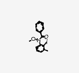 CON(C(=O)c1ccccc1)c1cccc(C)c1I